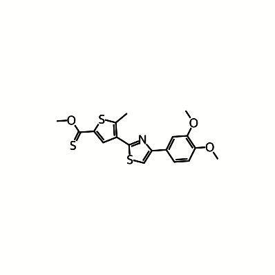 COC(=S)c1cc(-c2nc(-c3ccc(OC)c(OC)c3)cs2)c(C)s1